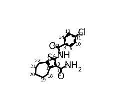 NC(=O)c1c(NC(=O)c2ccc(Cl)cc2)sc2c1CCCCC2